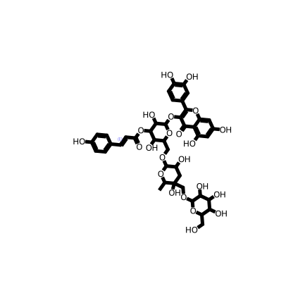 CC1OC(OCC2OC(Oc3c(-c4ccc(O)c(O)c4)oc4cc(O)cc(O)c4c3=O)C(O)C(OC(=O)/C=C/c3ccc(O)cc3)C2O)C(O)CC1(O)COC1OC(CO)C(O)C(O)C1O